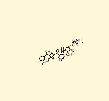 NC(c1cccc(Cl)c1)c1cc(C(=O)c2cncnc2NC2C[C@H](COS(N)(=O)=O)[C@@H](O)[C@H]2O)sc1Cl